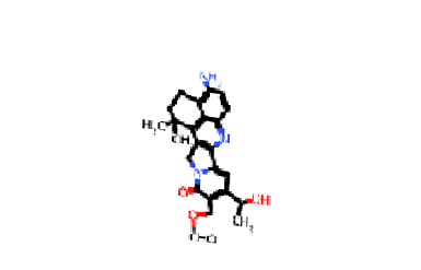 CC(O)c1cc2n(c(=O)c1COC=O)Cc1c-2nc2ccc(N)c3c2c1C(C)(C)CC3